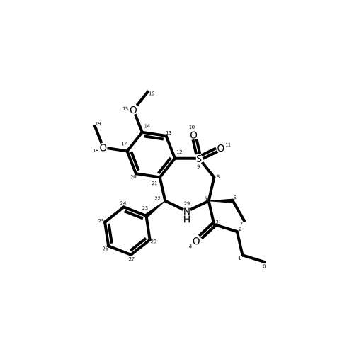 CCCC(=O)[C@@]1(CC)CS(=O)(=O)c2cc(OC)c(OC)cc2[C@H](c2ccccc2)N1